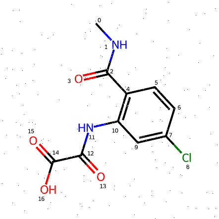 CNC(=O)c1ccc(Cl)cc1NC(=O)C(=O)O